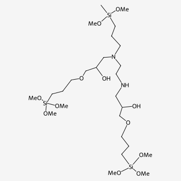 CO[Si](C)(CCCN(CCNCC(O)COCCC[Si](OC)(OC)OC)CC(O)COCCC[Si](OC)(OC)OC)OC